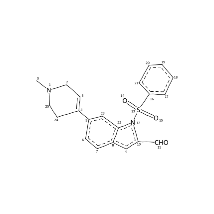 CN1CC=C(c2ccc3cc(C=O)n(S(=O)(=O)c4ccccc4)c3c2)CC1